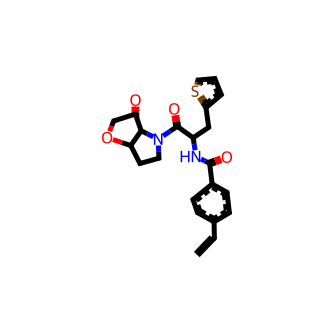 C=Cc1ccc(C(=O)NC(Cc2cccs2)C(=O)N2CCC3OCC(=O)C32)cc1